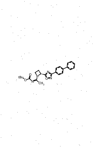 C/C(=N/C(=O)OC(C)(C)C)N1CC[C@H]1c1nc(-c2ccc(-c3ccccc3)cc2)no1